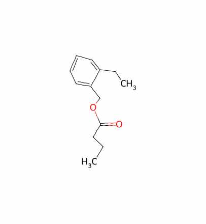 CCCC(=O)OCc1ccccc1CC